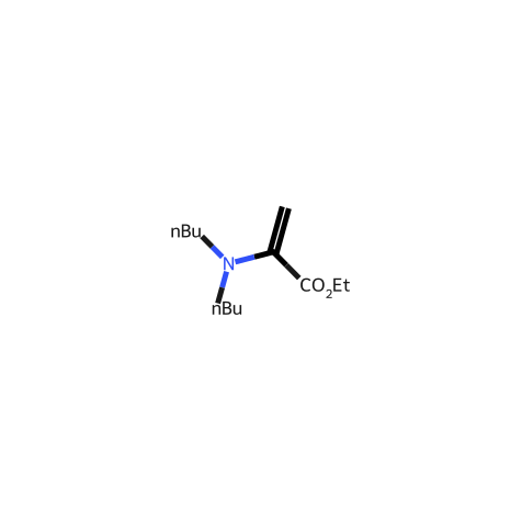 C=C(C(=O)OCC)N(CCCC)CCCC